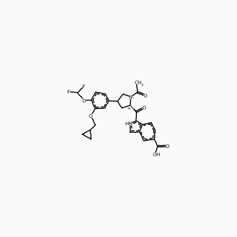 CC(=O)N1CC(c2ccc(OC(F)F)c(OCC3CC3)c2)C[C@@H]1C(=O)c1[nH]cc2cc(C(=O)O)ccc12